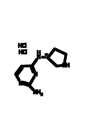 Cl.Cl.Nc1nccc(N[C@@H]2CCNC2)n1